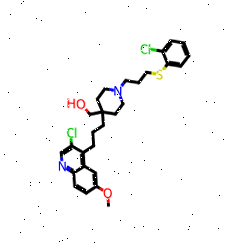 COc1ccc2ncc(Cl)c(CCCC3(CO)CCN(CCCSc4ccccc4Cl)CC3)c2c1